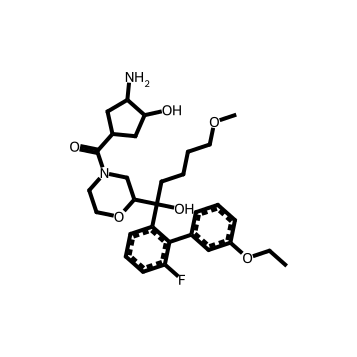 CCOc1cccc(-c2c(F)cccc2C(O)(CCCCOC)C2CN(C(=O)C3CC(N)C(O)C3)CCO2)c1